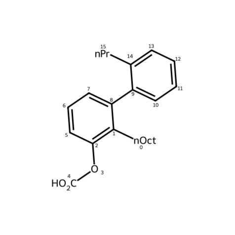 CCCCCCCCc1c(OC(=O)O)cccc1-c1ccccc1CCC